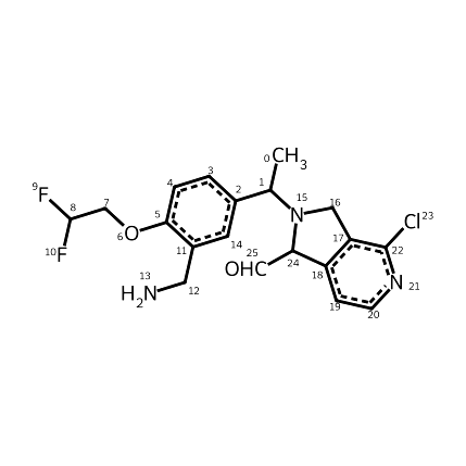 CC(c1ccc(OCC(F)F)c(CN)c1)N1Cc2c(ccnc2Cl)C1C=O